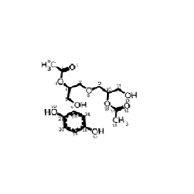 CC(=O)OC(CO)COCC(CO)OC(C)=O.Oc1ccc(O)cc1